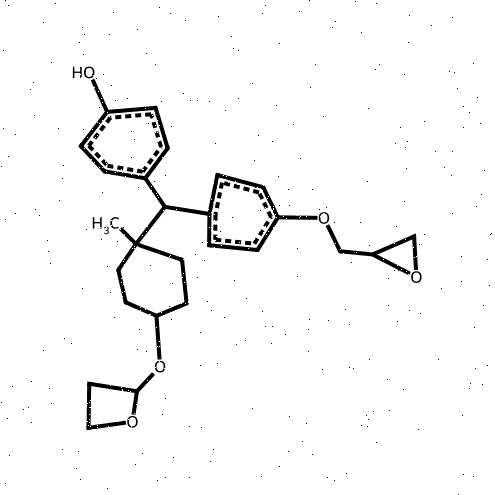 CC1(C(c2ccc(O)cc2)c2ccc(OCC3CO3)cc2)CCC(OC2CCO2)CC1